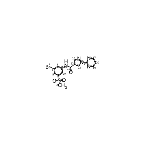 CS(=O)(=O)c1cc(Br)cc(NC(=O)c2cnn(-c3ncccn3)c2)c1